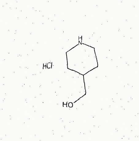 Cl.OCC1CCNCC1